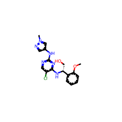 COc1ccccc1[C@@H](CO)Nc1nc(Nc2cnn(C)c2)ncc1Cl